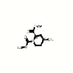 COC(=O)[C@H]1C[C@@H](C)CCN1C(=O)OC(C)(C)C